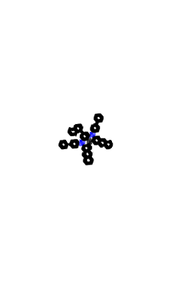 c1ccc(-c2ccc(N3c4cc5cc6ccccc6cc5cc4B4c5cc6cc7ccccc7cc6cc5N(c5ccc(-c6ccccc6)cc5)c5cc(-c6cccc7ccccc67)cc3c54)cc2)cc1